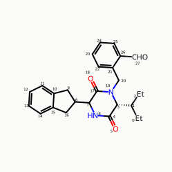 CCC(CC)[C@@H]1C(=O)NC(C2Cc3ccccc3C2)C(=O)N1Cc1ccccc1C=O